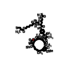 C=C(CBr)C(=O)OCCCCCC(=O)N[C@H](C(=O)N[C@@H](CCCNC(N)=O)C(=O)Nc1ccc(C(=O)N(C)[C@@H](C)C(=O)O[C@H]2CC(=O)N(C)c3cc(cc(OC)c3Cl)C/C(C)=C/C=C/[C@@H](OC)[C@@]3(O)C[C@H](OC(=O)N3)[C@@H](C)[C@@H]3O[C@@]23C)c(C(F)(F)F)c1)C(C)C